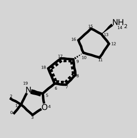 CC1(C)COC(c2ccc([C@H]3CC[C@H](N)CC3)cc2)=N1